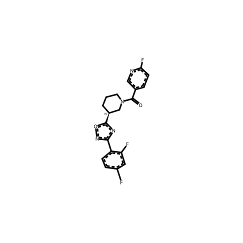 O=C(c1ccc(F)nc1)N1CCC[C@H](c2nc(-c3ccc(F)cc3F)no2)C1